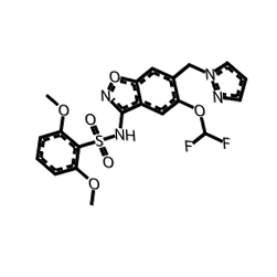 COc1cccc(OC)c1S(=O)(=O)Nc1noc2cc(Cn3cccn3)c(OC(F)F)cc12